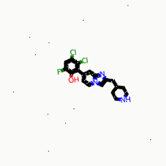 Oc1c(F)cc(Cl)c(Cl)c1-c1ccn2cc(CC3CCNCC3)nc2c1